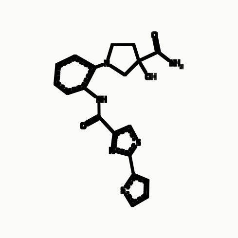 NC(=O)C1(O)CCN(c2ccccc2NC(=O)c2csc(-c3cccs3)n2)C1